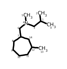 CC(C)CN(C)CC1CCCCC(C)C1